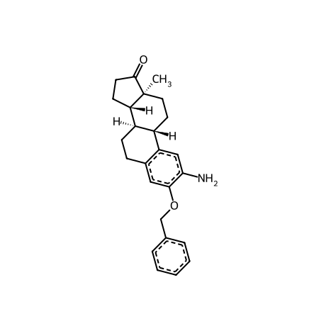 C[C@]12CC[C@@H]3c4cc(N)c(OCc5ccccc5)cc4CC[C@H]3[C@@H]1CCC2=O